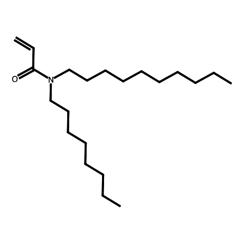 C=CC(=O)N(CCCCCCCC)CCCCCCCCCC